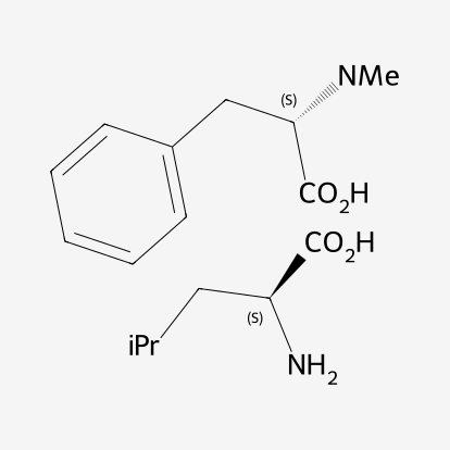 CC(C)C[C@H](N)C(=O)O.CN[C@@H](Cc1ccccc1)C(=O)O